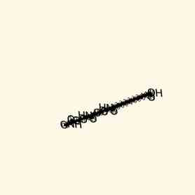 O=CCNC(=O)COCCOCCNC(=O)CCOCCOCCNC(=O)CCCCCCCCCCCCCCCCCC(=O)O